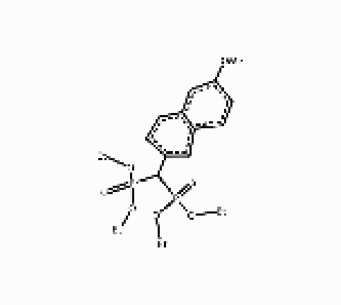 CCOP(=O)(OCC)C(c1ccc2cc(OC)ccc2c1)P(=S)(OCC)OCC